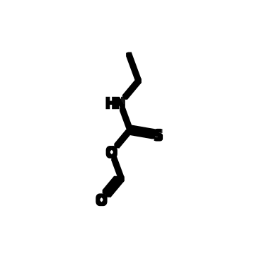 CCNC(=S)OC=O